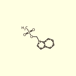 CS(=O)(=O)OCn1ccc2ccccc21